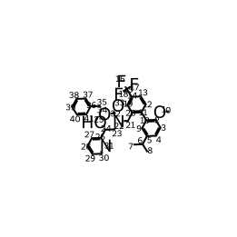 COc1ccc(C(C)C)cc1-c1ccc(C(F)(F)F)cc1CN(CC(O)c1ccccn1)C(=O)OCc1ccccc1